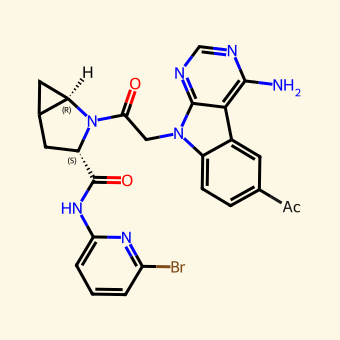 CC(=O)c1ccc2c(c1)c1c(N)ncnc1n2CC(=O)N1[C@@H]2CC2C[C@H]1C(=O)Nc1cccc(Br)n1